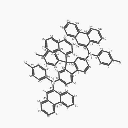 Cc1ccc(N(c2ccc3c(c2)C(c2ccc(C)cc2)(c2cccc4ccccc24)c2cc(N(c4ccc(C)cc4)c4cc5ccccc5c5ccccc45)ccc2-3)c2cc3ccccc3c3ccccc23)cc1